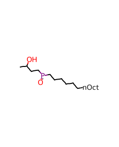 CCCCCCCCCCCCCC[P](=O)CCC(C)O